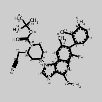 CSc1nc2c(F)c(-c3cccc(C)c3Cl)c(C)cc2c2c1ncn2[C@H]1CCN(C(=O)OC(C)(C)C)[C@H](CC#N)C1